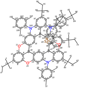 CCC(C)(C)c1cc2c3c(c1)Oc1cc4c(cc1B3c1cc3c(cc1O2)N(c1c(C)cc(C)cc1C)c1cc(C(C)(C)CC)cc2c1B3c1sc3ccc(C(C)(C)CC)cc3c1O2)B1c2sc3ccc(C(C)(C)CC)cc3c2N(c2ccc(C(C)(C)C)cc2)c2cc(C(C)(C)CC)cc(c21)N4c1c(C)cc(C)cc1C